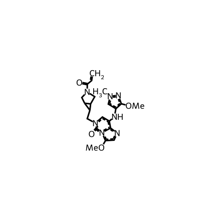 C=CC(=O)N1CC2C(C1)C2Cn1cc(Nc2cn(C)nc2OC)c2ncc(OC)n2c1=O